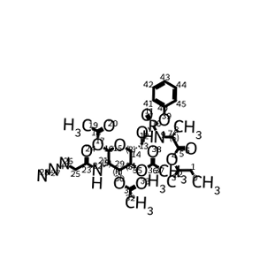 CCC(C)OC(=O)[C@H](C)NP(=O)(OC[C@H]1OC(OC(C)=O)[C@@H](NC(=O)CN=[N+]=[N-])[C@@H](OC(C)=O)[C@@H]1OC(C)=O)Oc1ccccc1